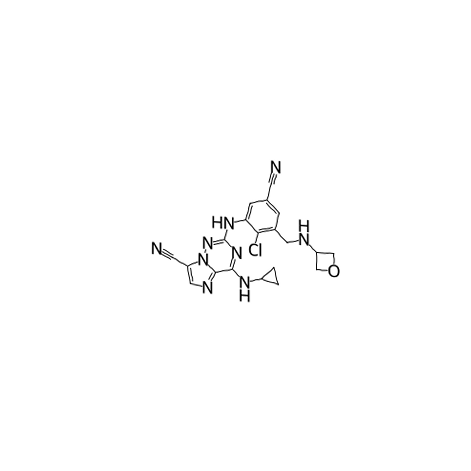 N#Cc1cc(CNC2COC2)c(Cl)c(Nc2nc(NC3CC3)c3ncc(C#N)n3n2)c1